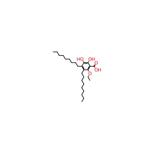 CCCCCCCCCc1c(O)c(O)c(C(=O)O)c(OCC)c1CCCCCCCCC